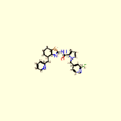 O=C(Nc1nc2c(s1)CCCC2Cc1ccccn1)c1cccn1Cc1ccnc(F)c1